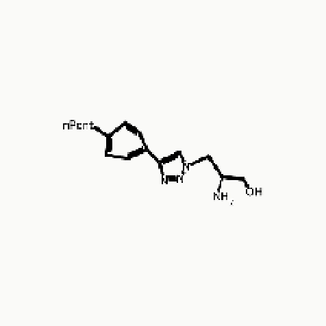 CCCCCc1ccc(-c2cn(C[C@H](N)CO)nn2)cc1